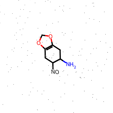 NC1CC2=C(CC1N=O)OCO2